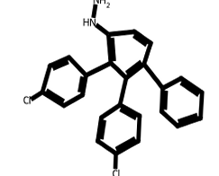 NNc1ccc(-c2ccccc2)c(-c2ccc(Cl)cc2)c1-c1ccc(Cl)cc1